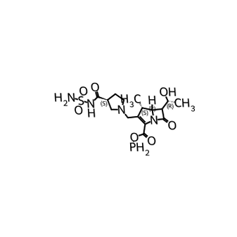 C[C@@H](O)C1C(=O)N2C(C(=O)OP)=C(CN3CC[C@H](C(=O)NS(N)(=O)=O)C3)[C@H](C)[C@H]12